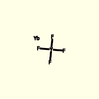 [F][Y]([F])([F])[F].[Yb]